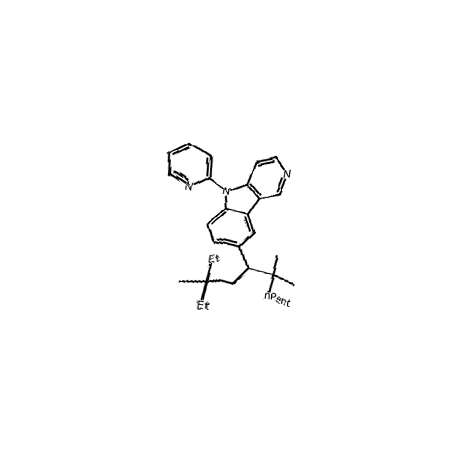 CCCCCC(C)(C)C(CC(C)(CC)CC)c1ccc2c(c1)c1cnccc1n2-c1ccccn1